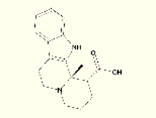 C[C@]12c3[nH]c4ccccc4c3CCN1CCC[C@H]2C(=O)O